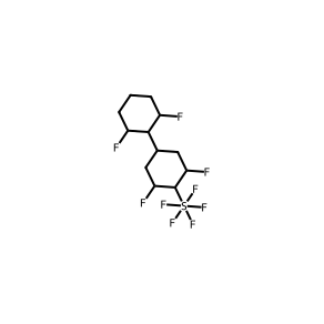 FC1CCCC(F)C1C1CC(F)C(S(F)(F)(F)(F)F)C(F)C1